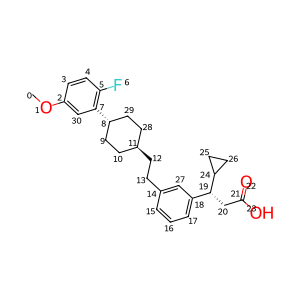 COc1ccc(F)c([C@H]2CC[C@H](CCc3cccc([C@@H](CC(=O)O)C4CC4)c3)CC2)c1